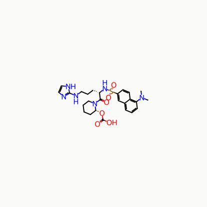 CN(C)c1cccc2cc(S(=O)(=O)N[C@@H](CCCNc3ncc[nH]3)C(=O)N3CCCC[C@H]3OC(=O)O)ccc12